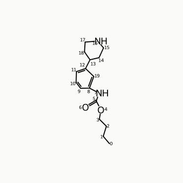 CCCCOC(=O)Nc1cccc(C2CCNCC2)c1